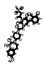 COc1ccc2c(c1)CCN(C1CCN(C(=O)Cn3cc(-c4cccc(Cl)c4Cl)c(=O)n(C(C)CS(C)(=O)=O)c3=O)CC1)C(=O)N2